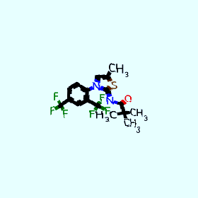 Cc1cn(-c2ccc(C(F)(F)F)cc2C(F)(F)F)c(=NC(=O)C(C)(C)C)s1